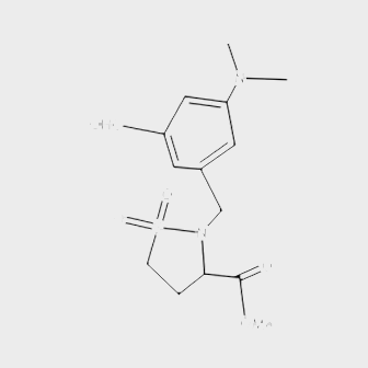 COC(=O)C1CCS(=O)(=O)N1Cc1cc(C=O)cc(N(C)C)c1